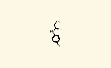 O=C(CS)Nc1ccc(Cl)cc1